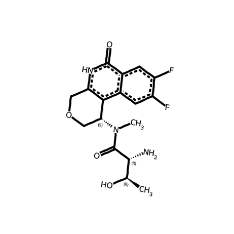 C[C@@H](O)[C@@H](N)C(=O)N(C)[C@@H]1COCc2[nH]c(=O)c3cc(F)c(F)cc3c21